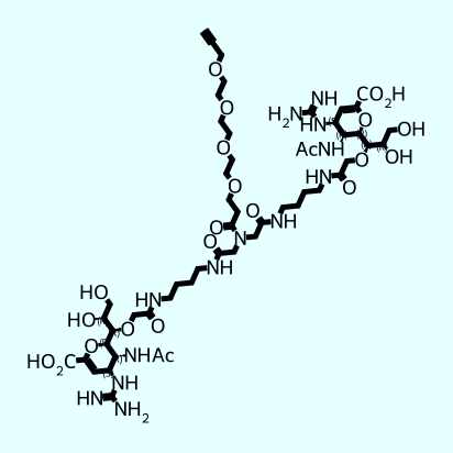 C#CCOCCOCCOCCOCCC(=O)N(CC(=O)NCCCCNC(=O)CO[C@@H]([C@@H]1OC(C(=O)O)=C[C@H](NC(=N)N)[C@H]1NC(C)=O)[C@H](O)CO)CC(=O)NCCCCNC(=O)CO[C@@H]([C@@H]1OC(C(=O)O)=C[C@H](NC(=N)N)[C@H]1NC(C)=O)[C@H](O)CO